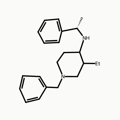 CCC1CN(Cc2ccccc2)CCC1N[C@@H](C)c1ccccc1